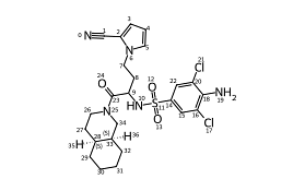 N#Cc1cccn1CCC(NS(=O)(=O)c1cc(Cl)c(N)c(Cl)c1)C(=O)N1CC[C@@H]2CCCC[C@@H]2C1